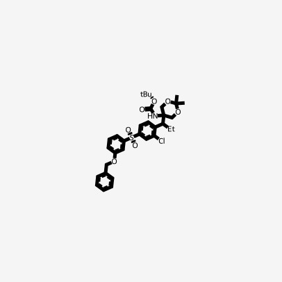 CCC(c1ccc(S(=O)(=O)c2cccc(OCc3ccccc3)c2)cc1Cl)C1(NC(=O)OC(C)(C)C)COC(C)(C)OC1